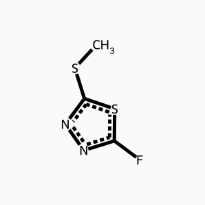 CSc1nnc(F)s1